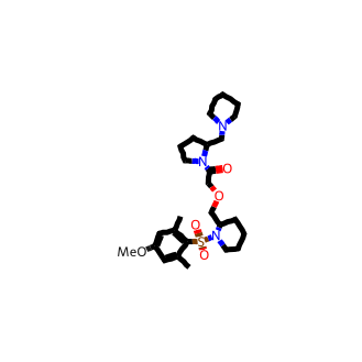 COc1cc(C)c(S(=O)(=O)N2CCCCC2COCC(=O)N2CCCC2CN2CCCCC2)c(C)c1